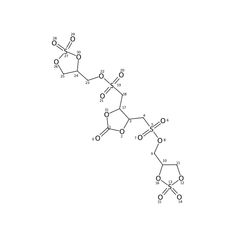 O=C1OC(CS(=O)(=O)OCC2COS(=O)(=O)O2)C(CS(=O)(=O)OCC2COS(=O)(=O)O2)O1